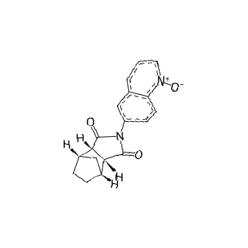 O=C1[C@@H]2[C@@H]3CC[C@@H](C3)[C@@H]2C(=O)N1c1ccc2c(ccc[n+]2[O-])c1